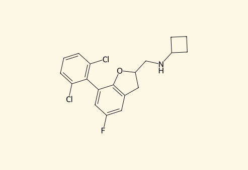 Fc1cc2c(c(-c3c(Cl)cccc3Cl)c1)OC(CNC1CCC1)C2